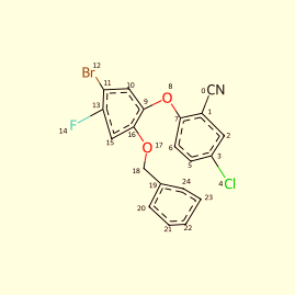 N#Cc1cc(Cl)ccc1Oc1cc(Br)c(F)cc1OCc1ccccc1